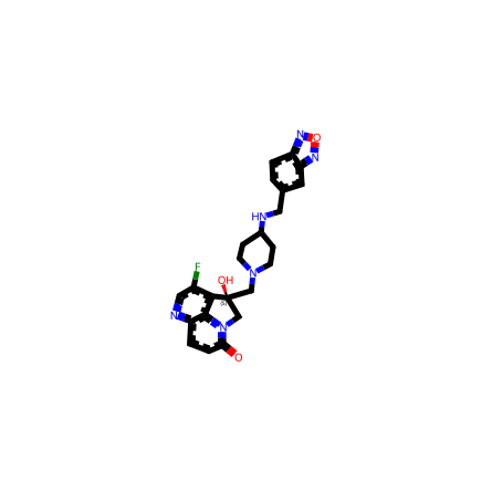 O=c1ccc2ncc(F)c3c2n1C[C@@]3(O)CN1CCC(NCc2ccc3nonc3c2)CC1